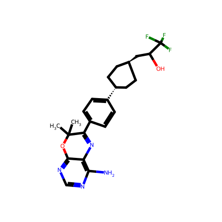 CC1(C)Oc2ncnc(N)c2N=C1c1ccc([C@H]2CC[C@H](CC(O)C(F)(F)F)CC2)cc1